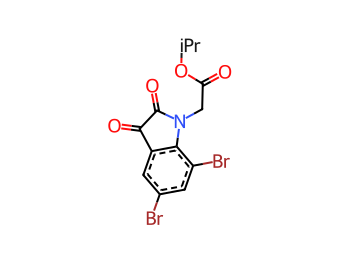 CC(C)OC(=O)CN1C(=O)C(=O)c2cc(Br)cc(Br)c21